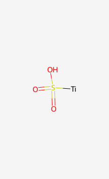 O=[S](=O)(O)[Ti]